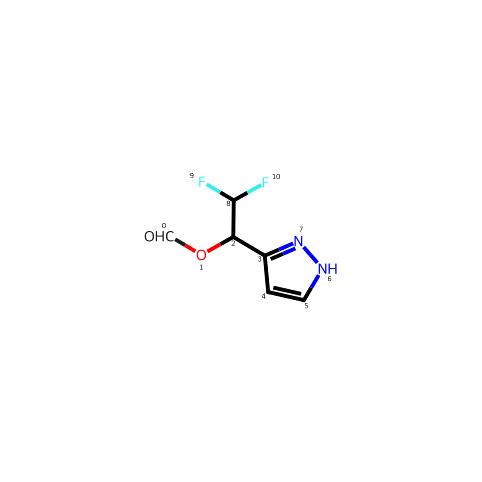 O=COC(c1cc[nH]n1)C(F)F